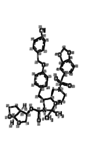 CC(C)CN(C[C@H]1OC(C)(C)N(C(=O)O[C@H]2CO[C@H]3OCC[C@H]32)[C@H]1Cc1ccc(OCc2ccc(C#N)cc2)cc1)S(=O)(=O)c1ccc2c(c1)OCO2